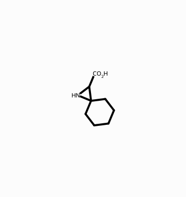 O=C(O)C1NC12CCCCC2